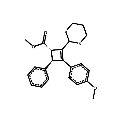 COC(=O)[C@@H]1C(C2SCCCS2)=C(c2ccc(OC)cc2)[C@H]1c1ccccc1